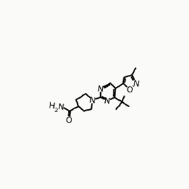 Cc1cc(-c2cnc(N3CCC(C(N)=O)CC3)nc2C(C)(C)C)on1